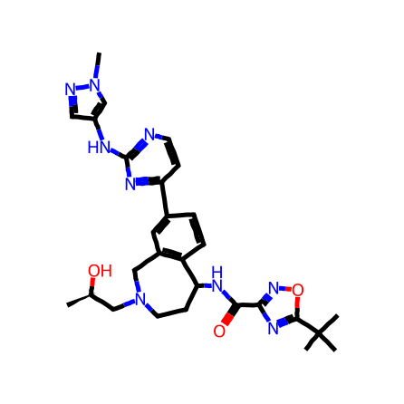 C[C@@H](O)CN1CCC(NC(=O)c2noc(C(C)(C)C)n2)c2ccc(-c3ccnc(Nc4cnn(C)c4)n3)cc2C1